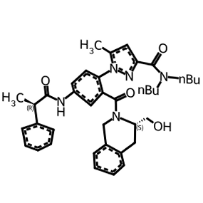 CCCCN(CCCC)C(=O)c1cc(C)n(-c2ccc(NC(=O)[C@H](C)c3ccccc3)cc2C(=O)N2Cc3ccccc3C[C@H]2CO)n1